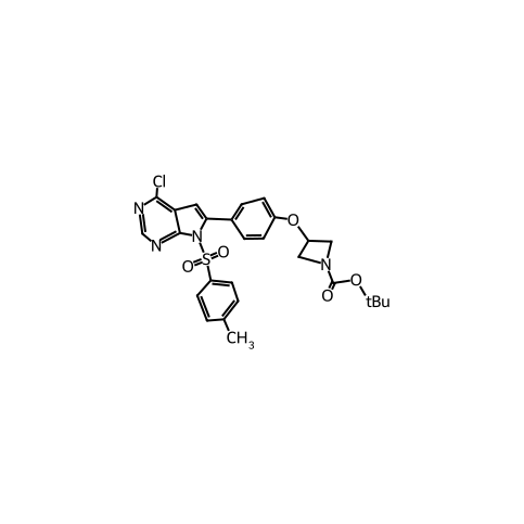 Cc1ccc(S(=O)(=O)n2c(-c3ccc(OC4CN(C(=O)OC(C)(C)C)C4)cc3)cc3c(Cl)ncnc32)cc1